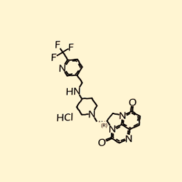 Cl.O=c1ccc2ncc(=O)n3c2n1C[C@H]3CN1CCC(NCc2ccc(C(F)(F)F)nc2)CC1